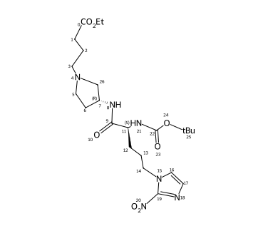 CCOC(=O)CCCN1CC[C@@H](NC(=O)[C@H](CCCn2ccnc2[N+](=O)[O-])NC(=O)OC(C)(C)C)C1